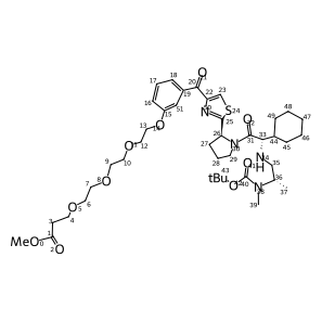 COC(=O)CCOCCOCCOCCOc1cccc(C(=O)c2csc([C@@H]3CCCN3C(=O)[C@@H](NC[C@H](C)N(C)C(=O)OC(C)(C)C)C3CCCCC3)n2)c1